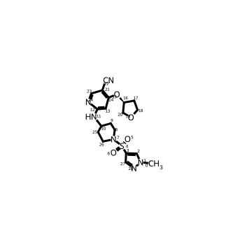 Cn1cc(S(=O)(=O)N2CCC(Nc3cc(O[C@H]4CCOC4)c(C#N)cn3)CC2)cn1